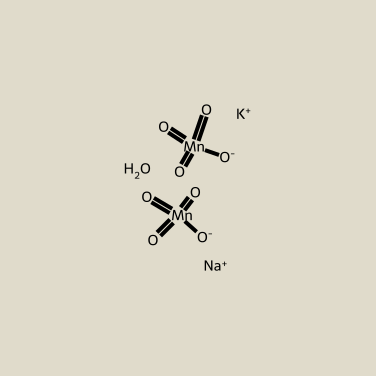 O.[K+].[Na+].[O]=[Mn](=[O])(=[O])[O-].[O]=[Mn](=[O])(=[O])[O-]